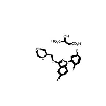 Fc1ccc(F)c(-n2nc(OC[C@@H]3CNCCO3)c3cc(F)ccc32)c1.O=C(O)CC(O)C(=O)O